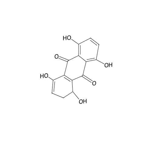 O=C1C2=C(C(=O)c3c(O)ccc(O)c31)C(O)CC=C2O